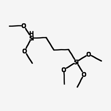 CO[SiH](CCC[Si](OC)(OC)OC)OC